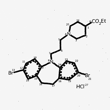 CCOC(=O)C1CCN(CCCN2c3ccc(Br)cc3CCc3cc(Br)ccc32)CC1.Cl